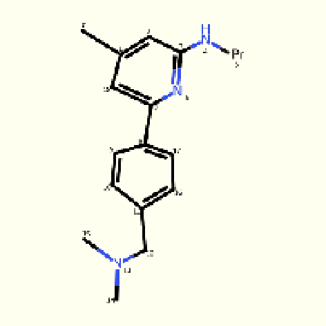 Cc1cc(NC(C)C)nc(-c2ccc(CN(C)C)cc2)c1